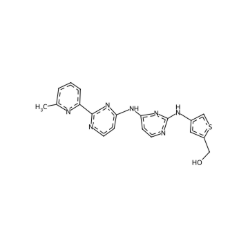 Cc1cccc(-c2nccc(Nc3ccnc(Nc4csc(CO)c4)n3)n2)n1